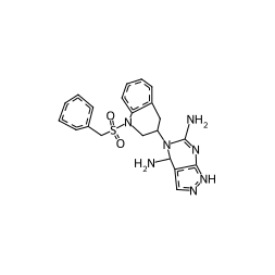 NC1=Nc2[nH]ncc2C(N)N1C1Cc2ccccc2N(S(=O)(=O)Cc2ccccc2)C1